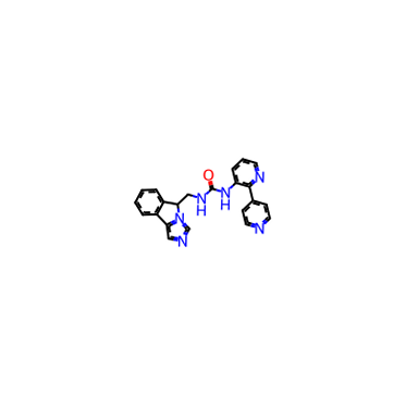 O=C(NCC1c2ccccc2-c2cncn21)Nc1cccnc1-c1ccncc1